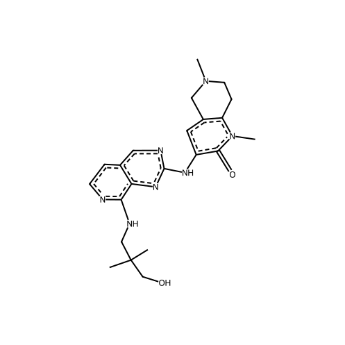 CN1CCc2c(cc(Nc3ncc4ccnc(NCC(C)(C)CO)c4n3)c(=O)n2C)C1